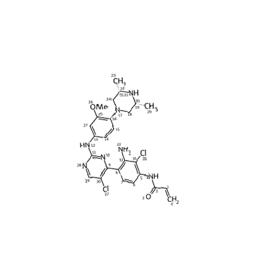 C=CC(=O)Nc1ccc(-c2nc(Nc3ccc(N4C[C@@H](C)N[C@@H](C)C4)c(OC)c3)ncc2Cl)c(N)c1Cl